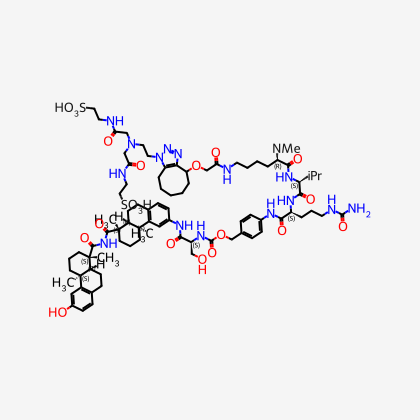 CN[C@H](CCCCNC(=O)COC1CCCCCc2c1nnn2CCN(CC(=O)NCCS(=O)(=O)O)CC(=O)NCCS(=O)(=O)O)C(=O)N[C@H](C(=O)N[C@@H](CCCNC(N)=O)C(=O)Nc1ccc(COC(=O)N[C@@H](CO)C(=O)Nc2ccc3c(c2)[C@@]2(C)CCC[C@](C)(C(=O)NC(=O)[C@@]4(C)CCC[C@]5(C)c6cc(O)ccc6CC[C@@H]45)[C@@H]2CC3)cc1)C(C)C